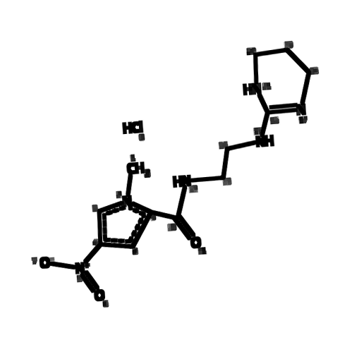 Cl.Cn1cc([N+](=O)[O-])cc1C(=O)NCCNC1=NCCCN1